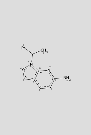 CC(C)C(C)n1ccc2ccc(N)nc21